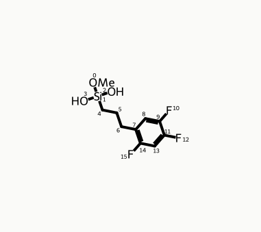 CO[Si](O)(O)CCCc1cc(F)c(F)cc1F